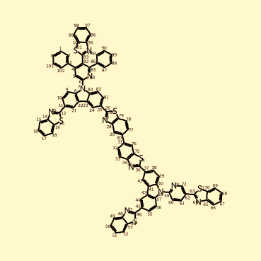 c1ccc(-c2cc(-n3c4ccc(-c5nc6ccccc6s5)cc4c4cc(-c5nc6cc(-c7ccc8nc(-c9ccc%10c(c9)c9cc(-c%11nc%12ccccc%12s%11)ccc9n%10-c9ccc(-c%10nc%11ccccc%11s%10)cn9)sc8c7)ccc6s5)ccc43)nc(-c3ccccc3)c2-c2nc3ccccc3s2)cc1